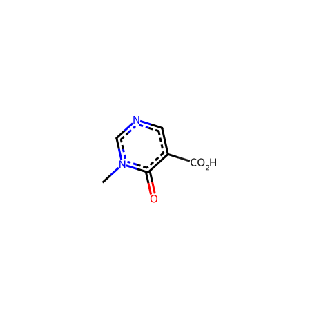 Cn1cncc(C(=O)O)c1=O